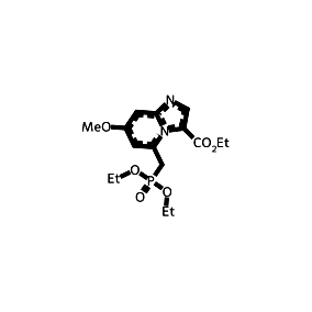 CCOC(=O)c1cnc2cc(OC)cc(CP(=O)(OCC)OCC)n12